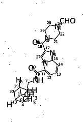 CC1(C)[C@H]2CC[C@@H](CNC(=O)c3cccc4nc(C(=O)N5CCN(C=O)CC5)cn34)[C@H]1C2